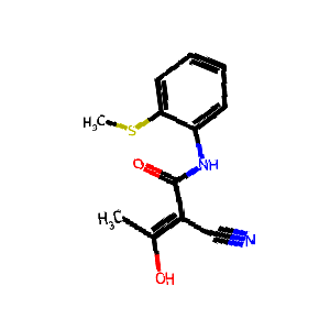 CSc1ccccc1NC(=O)/C(C#N)=C(\C)O